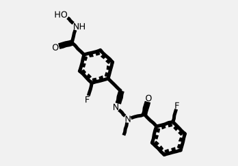 CN(N=Cc1ccc(C(=O)NO)cc1F)C(=O)c1ccccc1F